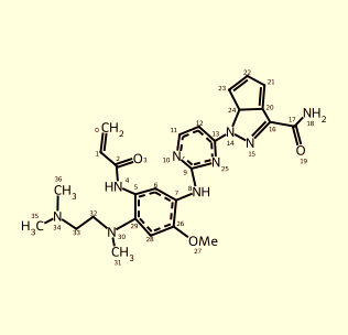 C=CC(=O)Nc1cc(Nc2nccc(N3N=C(C(N)=O)C4=CC=CC43)n2)c(OC)cc1N(C)CCN(C)C